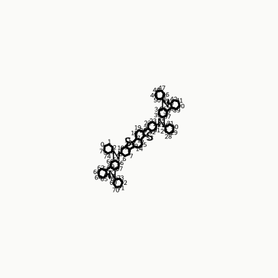 c1ccc(N(c2ccc3c(c2)sc2c3ccc3c2ccc2c4ccc(N(c5ccccc5)c5ccc6c(c5)c5ccccc5n6-c5ccccc5)cc4sc23)c2ccc3c(c2)c2ccccc2n3-c2ccccc2)cc1